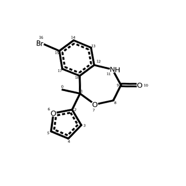 CC1(c2ccco2)OCC(=O)Nc2ccc(Br)cc21